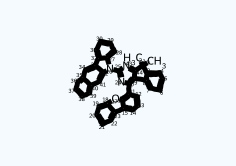 CC1(C)c2ccccc2-c2c(-c3cccc4c3oc3ccccc34)nc(-n3c4ccccc4c4cc5ccccc5cc43)nc21